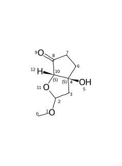 COC1C[C@@]2(O)CCC(=O)[C@H]2O1